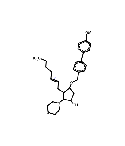 COc1ccc(-c2ccc(COC3CC(O)C(N4CCSCC4)C3C/C=C/CCCC(=O)O)cc2)cc1